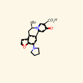 CC(C)(C)[C@@H]1Cc2c(cc(N3CCCC3)c3occc23)-c2cc(=O)c(C(=O)O)cn21